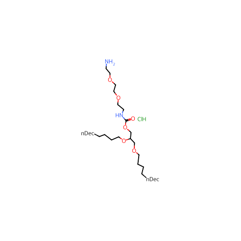 CCCCCCCCCCCCCCOCC(COC(=O)NCCOCCOCCN)OCCCCCCCCCCCCCC.Cl